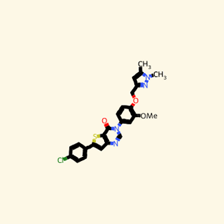 COc1cc(-n2cnc3cc(-c4ccc(Cl)cc4)sc3c2=O)ccc1OCc1cc(C)n(C)n1